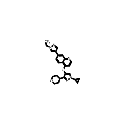 FC(F)(F)Cn1cc(-c2ccc3c(Oc4cn(C5CC5)nc4C4CCOCC4)ccnc3c2)cn1